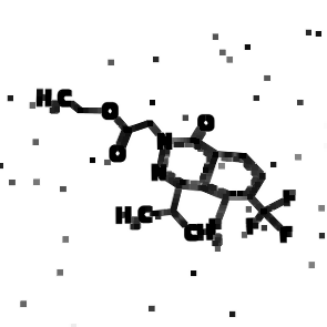 CCOC(=O)Cn1nc(C(C)C)c2c(F)c(C(F)(F)F)ccc2c1=O